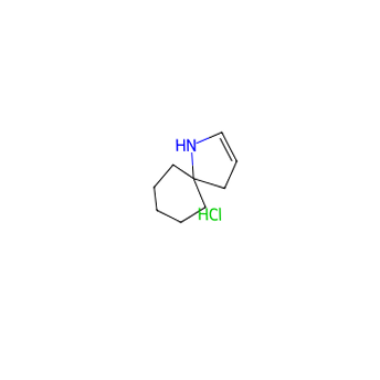 C1=CNC2(C1)CCCCC2.Cl